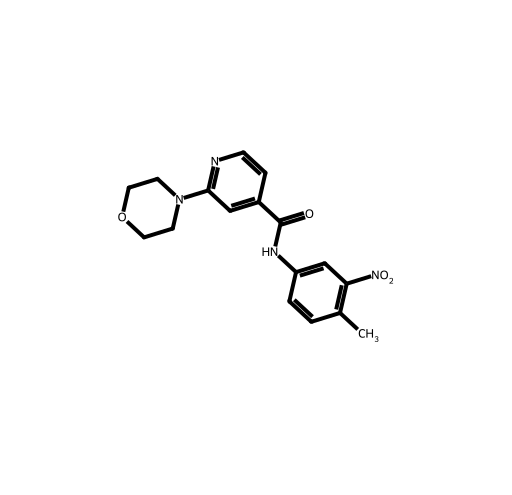 Cc1ccc(NC(=O)c2ccnc(N3CCOCC3)c2)cc1[N+](=O)[O-]